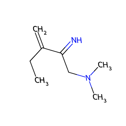 C=C(CC)C(=N)CN(C)C